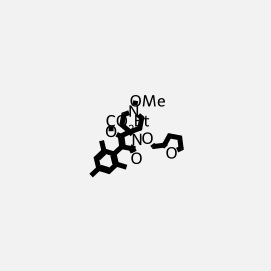 CCOC(=O)OC1=C(c2c(C)cc(C)cc2C)C(=O)N(OCC2CCCO2)C12CCN(OC)CC2